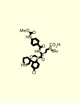 COC(=O)Nc1ccc(C(=O)N[C@@H](CCN(C(=O)O)C(C)(C)C)C(=O)N2COC3(CCCNC3)c3cc(Cl)ccc32)cc1